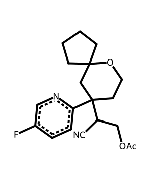 CC(=O)OCC(C#N)C1(c2ccc(F)cn2)CCOC2(CCCC2)C1